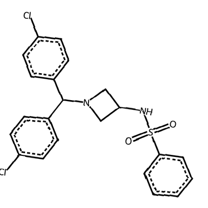 O=S(=O)(NC1CN(C(c2ccc(Cl)cc2)c2ccc(Cl)cc2)C1)c1ccccc1